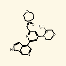 C[C@@H]1COCCN1c1cc(N=S2(=O)CCOCC2)nc(-c2cncc3[nH]ccc23)c1